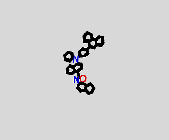 c1ccc(N(c2ccc(-c3cc4ccccc4c4ccccc34)cc2)c2ccc(-c3nc4ccc5ccccc5c4o3)c3ccccc23)cc1